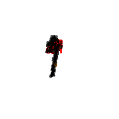 CCCCCCCSCCCCCC/C=C/[C@H](C(=O)N1C(=O)SC(c2ccccc2)(c2ccccc2)[C@@H]1C(C)C)[C@@](O)(CCOC)C(=O)OC(C)(C)C